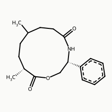 CC1CCC(=O)N[C@H](c2ccccc2)COC(=O)[C@H](C)CC1